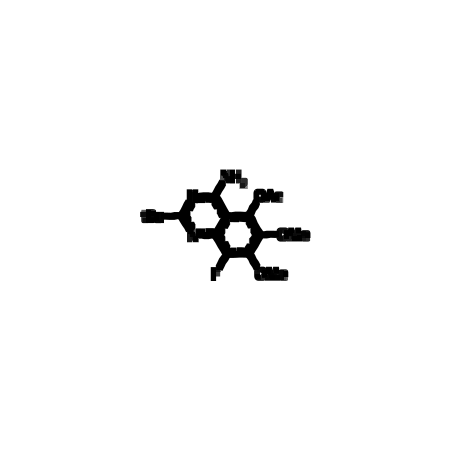 COc1c(OC)c(OC(C)=O)c2c(N)nc(C(C)(C)C)nc2c1F